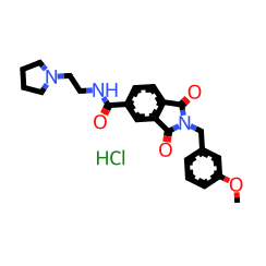 COc1cccc(CN2C(=O)c3ccc(C(=O)NCCN4CCCC4)cc3C2=O)c1.Cl